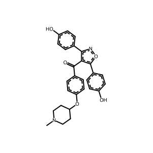 CN1CCC(Oc2ccc(C(=O)c3c(-c4ccc(O)cc4)noc3-c3ccc(O)cc3)cc2)CC1